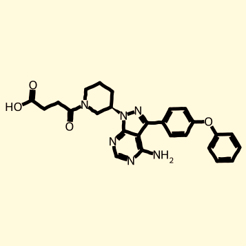 Nc1ncnc2c1c(-c1ccc(Oc3ccccc3)cc1)nn2[C@@H]1CCCN(C(=O)CCC(=O)O)C1